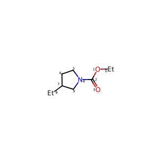 CCOC(=O)N1CCC(CC)C1